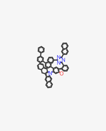 C1=CC2=Cc3c(c4cc5ccccc5cc4n3-c3cc4oc5cccc(-c6nc(-c7ccccc7)nc(-c7ccc8ccccc8c7)n6)c5c4cc3-c3ccc(-c4cccc(-c5ccccc5)c4)cc3)CC2C=C1